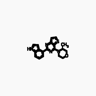 C[C@@H]1COCCN1c1nc(-c2cccc3[nH]ccc23)nc2ccsc12